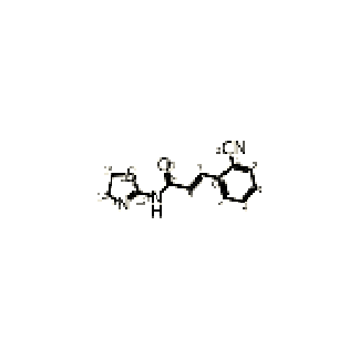 N#Cc1ccccc1/C=C/C(=O)NC1=NCCS1